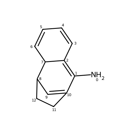 NC1=C2C=CC=CC2C2C=C1CC2